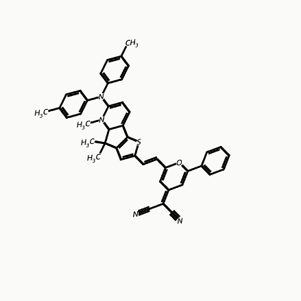 Cc1ccc(N(C2=CC=C3c4sc(/C=C/C5=CC(=C(C#N)C#N)C=C(c6ccccc6)O5)cc4C(C)(C)C3N2C)c2ccc(C)cc2)cc1